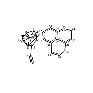 C#C[C]12[CH]3[CH]4[CH]5[CH]1[Fe]45321678[CH]2[CH]1[CH]6[CH]7[CH]28.C1=Cc2cccc3cccc(c23)C1